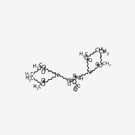 CCCCCCC(C)OC(=O)CCCCCN(CCCCCCNC(=O)C1CC(C(=O)NCCCCCCN(CCCCCC(=O)OC(C)CCCCCC)CCCCCC(=O)OC(C)CCCCCC)CC(C(=O)N2CCCC2)C1)CCCCCC(=O)OC(C)CCCCCC